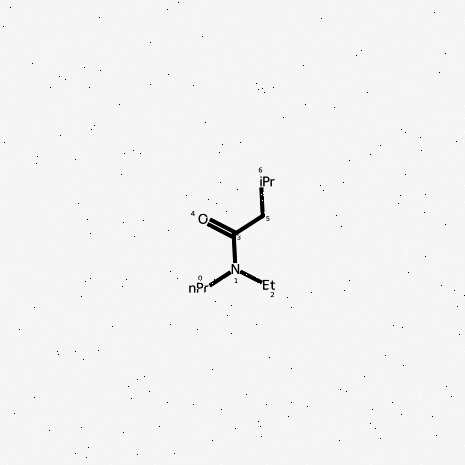 CCCN(CC)C(=O)CC(C)C